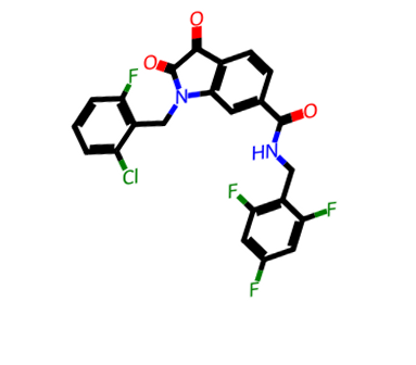 O=C(NCc1c(F)cc(F)cc1F)c1ccc2c(c1)N(Cc1c(F)cccc1Cl)C(=O)C2=O